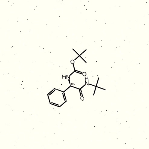 CC(C)(C)NC(=O)[C@H](NC(=O)OC(C)(C)C)c1ccccc1